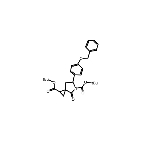 CC(C)(C)OC(=O)C1CC12CC(c1ccc(OCc3ccccc3)cc1)N(C(=O)OC(C)(C)C)C2=O